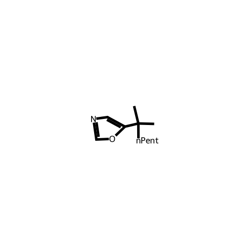 CCCCCC(C)(C)c1cnco1